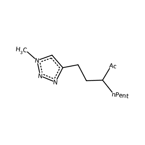 CCCCCC(CCc1cn(C)nn1)C(C)=O